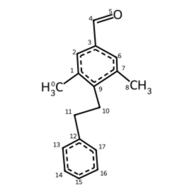 Cc1cc(C=O)cc(C)c1CCc1ccccc1